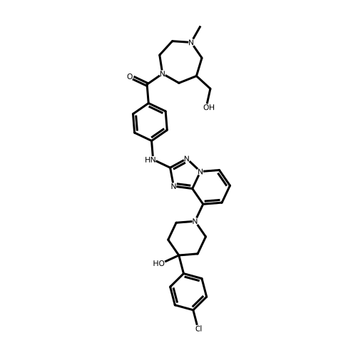 CN1CCN(C(=O)c2ccc(Nc3nc4c(N5CCC(O)(c6ccc(Cl)cc6)CC5)cccn4n3)cc2)CC(CO)C1